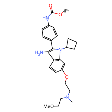 COCCN(C)CCOc1ccc2c(N)c(-c3ccc(NC(=O)OC(C)C)cc3)n(C3CCC3)c2c1